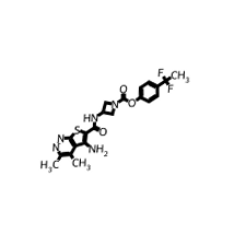 Cc1nnc2sc(C(=O)NC3CN(C(=O)Oc4ccc(C(C)(F)F)cc4)C3)c(N)c2c1C